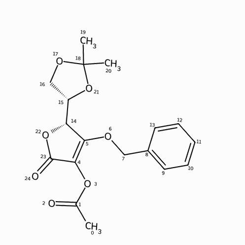 CC(=O)OC1=C(OCc2ccccc2)[C@@H]([C@@H]2COC(C)(C)O2)OC1=O